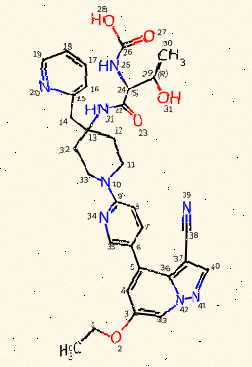 CCOc1cc(-c2ccc(N3CCC(Cc4ccccn4)(NC(=O)[C@@H](NC(=O)O)[C@@H](C)O)CC3)nc2)c2c(C#N)cnn2c1